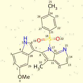 COc1ccc2[nH]cc(-c3c(C)c4cccnc4n3S(=O)(=O)c3ccc(C)cc3)c2c1